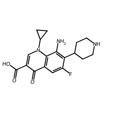 Nc1c(C2CCNCC2)c(F)cc2c(=O)c(C(=O)O)cn(C3CC3)c12